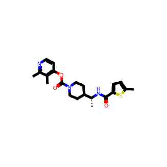 Cc1ccc(C(=O)N[C@H](C)C2CCN(C(=O)Oc3ccnc(C)c3C)CC2)s1